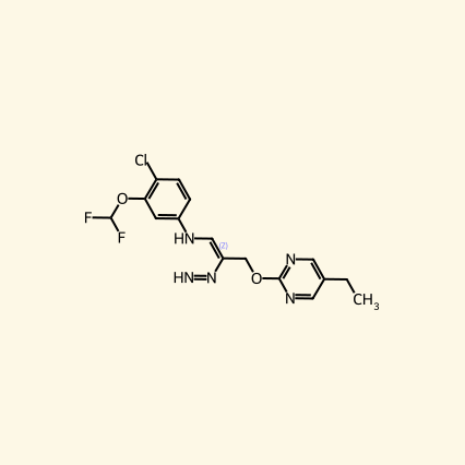 CCc1cnc(OC/C(=C/Nc2ccc(Cl)c(OC(F)F)c2)N=N)nc1